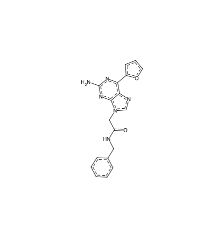 Nc1nc(-c2ccco2)c2ncn(CC(=O)NCc3ccccc3)c2n1